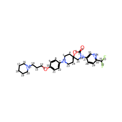 O=C1OC2(CCN(c3ccc(OCCCN4CCCCC4)cc3)CC2)CN1c1ccc(C(F)F)nc1